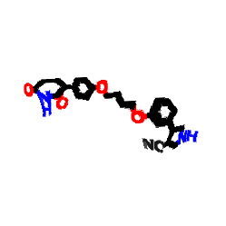 N#CC1CNCC1c1cccc(OCCCCOc2ccc(C3CCC(=O)NC3=O)cc2)c1